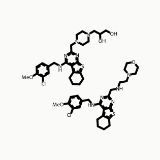 COc1ccc(CNc2nc(CN3CCN(CC(O)CO)CC3)nc3sc4c(c23)CCCC4)cc1Cl.COc1ccc(CNc2nc(CNCCN3CCOCC3)nc3sc4c(c23)CCCC4)cc1Cl